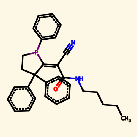 CCCCCNC(=O)/C(C#N)=C1/P(c2ccccc2)CCC1(c1ccccc1)c1ccccc1